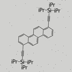 CC(C)[Si](C#Cc1cccc2c1ccc1c3cccc(C#C[Si](C(C)C)(C(C)C)C(C)C)c3ccc21)(C(C)C)C(C)C